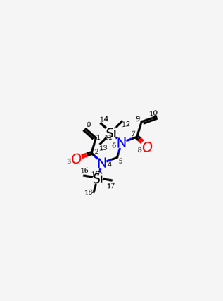 C=CC(=O)N(CN(C(=O)C=C)[Si](C)(C)C)[Si](C)(C)C